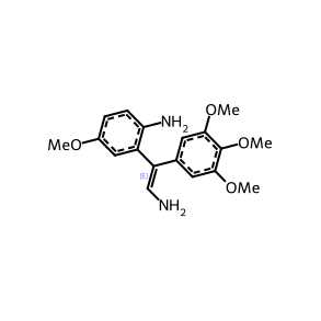 COc1ccc(N)c(/C(=C/N)c2cc(OC)c(OC)c(OC)c2)c1